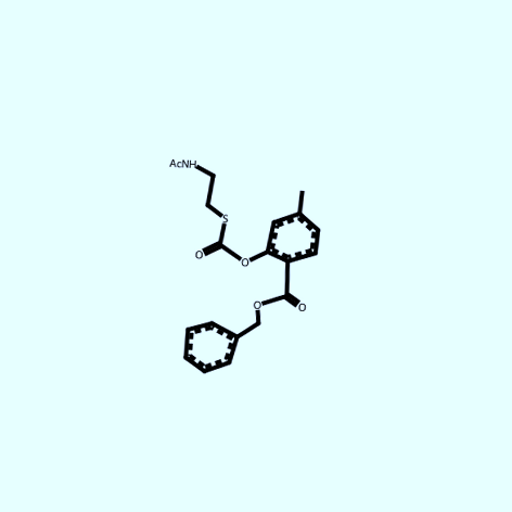 CC(=O)NCCSC(=O)Oc1cc(C)ccc1C(=O)OCc1ccccc1